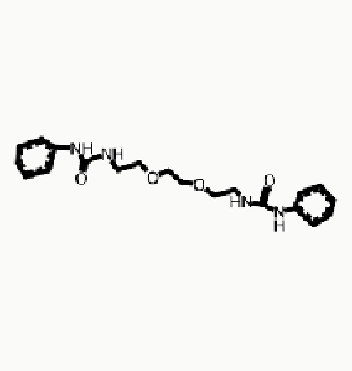 O=C(NCCOCCOCCNC(=O)Nc1ccccc1)Nc1ccccc1